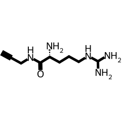 C#CCNC(=O)[C@H](N)CCCNC(N)N